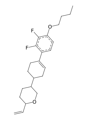 C=CC1CCC(C2CC=C(c3ccc(OCCCC)c(F)c3F)CC2)CO1